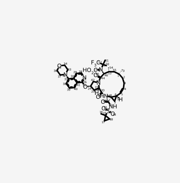 C[C@@H]1CCC=C[C@@H]2C[C@@]2(C(=O)NS(=O)(=O)C2(C)CC2)NC(=O)[C@@H]2C[C@@H](Oc3nccc4c(N5CCOCC5)cccc34)CN2C(=O)[C@@H](N(C(=O)O)C(C)(C)C(F)(F)F)[C@H](C)C1